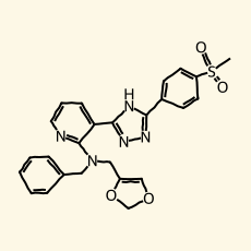 CS(=O)(=O)c1ccc(-c2nnc(-c3cccnc3N(CC3=COCO3)Cc3ccccc3)[nH]2)cc1